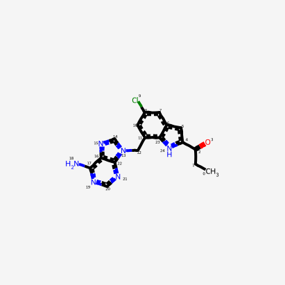 CCC(=O)c1cc2cc(Cl)cc(Cn3cnc4c(N)ncnc43)c2[nH]1